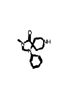 CN1CN(c2ccccc2)C2(CCNCC2)C1=O